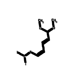 COC(/C=C/C=C\SP(I)I)OC